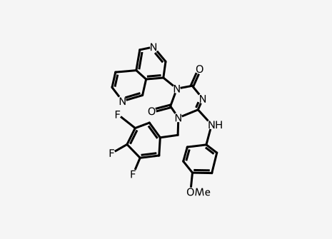 COc1ccc(Nc2nc(=O)n(-c3cncc4ccncc34)c(=O)n2Cc2cc(F)c(F)c(F)c2)cc1